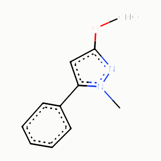 Cn1nc(OC=O)cc1-c1ccccc1